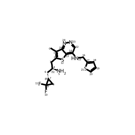 Cc1c(C[C@@H](N)C[C@@H]2CC2(F)F)sc2c(NCc3cccs3)cnnc12